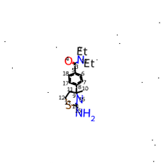 CCN(CC)C(=O)c1ccc(C2(C)CCSC(N)=N2)cc1